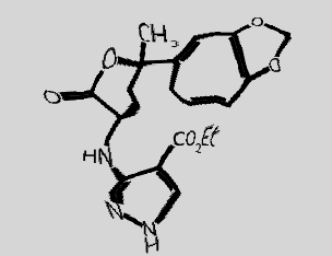 CCOC(=O)c1c[nH]nc1NC1CC(C)(c2ccc3c(c2)OCO3)OC1=O